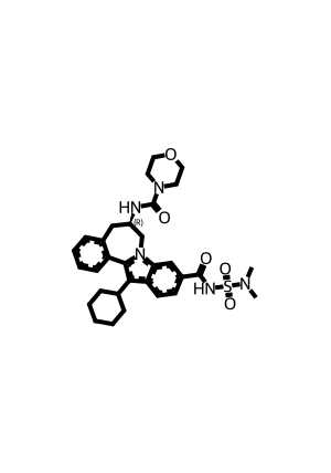 CN(C)S(=O)(=O)NC(=O)c1ccc2c(C3CCCCC3)c3n(c2c1)C[C@H](NC(=O)N1CCOCC1)Cc1ccccc1-3